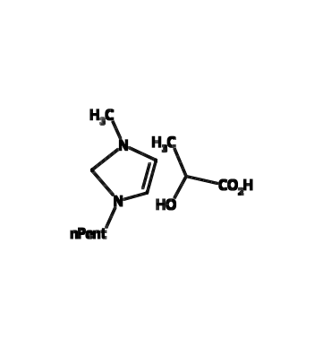 CC(O)C(=O)O.CCCCCN1C=CN(C)C1